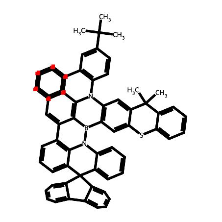 CC(C)(C)c1ccc(N2c3cc4c(cc3B3c5c(cc6ccccc6c52)-c2cccc5c2N3c2ccccc2C52c3ccccc3-c3ccccc32)Sc2ccccc2C4(C)C)c(-c2ccccc2)c1